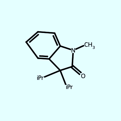 CC(C)C1(C(C)C)C(=O)N(C)c2ccccc21